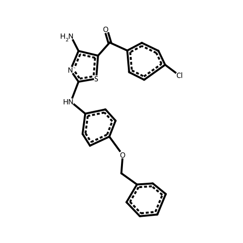 Nc1nc(Nc2ccc(OCc3ccccc3)cc2)sc1C(=O)c1ccc(Cl)cc1